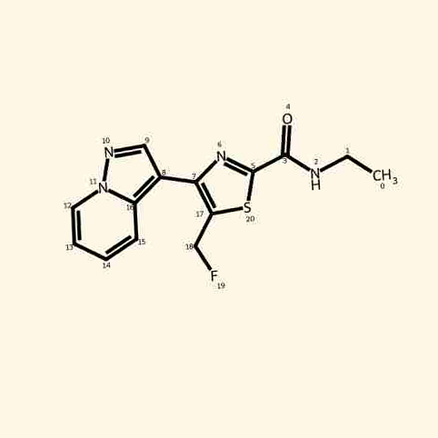 CCNC(=O)c1nc(-c2cnn3ccccc23)c(CF)s1